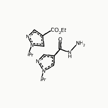 CC(C)n1cc(C(=O)NN)cn1.CCOC(=O)c1cnn(C(C)C)c1